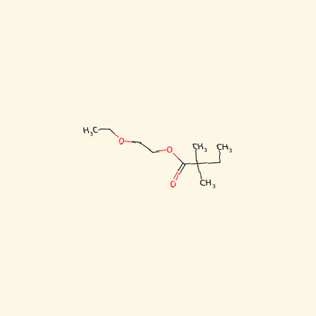 CCOCCOC(=O)C(C)(C)CC